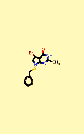 Cc1nc2c(c(Br)cn2SCc2ccccc2)c(=O)[nH]1